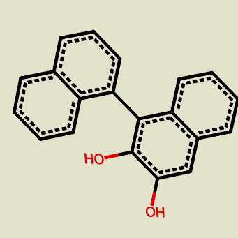 Oc1cc2ccccc2c(-c2cccc3ccccc23)c1O